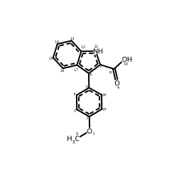 COc1ccc(-c2c(C(=O)O)[nH]c3ccccc23)cc1